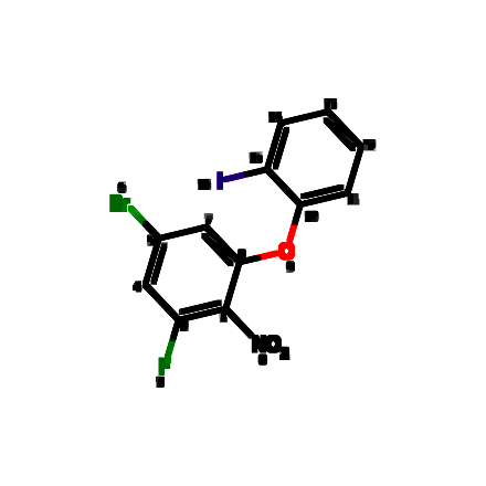 O=[N+]([O-])c1c(F)cc(Br)cc1Oc1ccccc1I